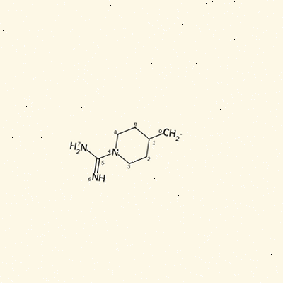 [CH2]C1CCN(C(=N)N)CC1